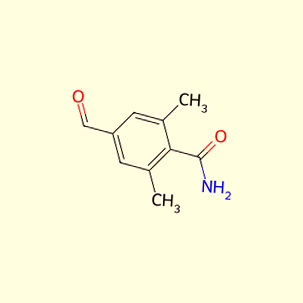 Cc1cc(C=O)cc(C)c1C(N)=O